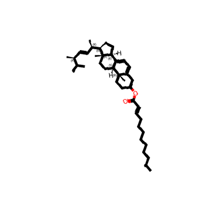 CCCCCCCCCC=CC(=O)OC1CC[C@@]2(C)C(=CC=C3[C@@H]4CC[C@H]([C@H](C)C=C[C@H](C)C(C)C)[C@@]4(C)CC[C@@H]32)C1